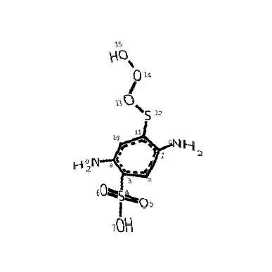 Nc1cc(S(=O)(=O)O)c(N)cc1SOOO